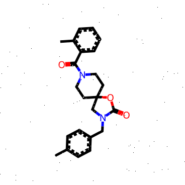 Cc1ccc(CN2CC3(CCN(C(=O)c4ccccc4C)CC3)OC2=O)cc1